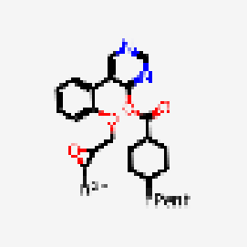 CCCCCC1CCC(C(=O)Oc2ncncc2-c2ccccc2OCC2OC2CCC)CC1